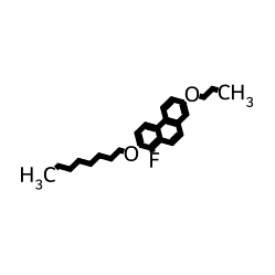 CCCCCCCCOc1ccc2c(ccc3cc(OCCC)ccc32)c1F